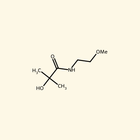 COCCNC(=O)C(C)(C)O